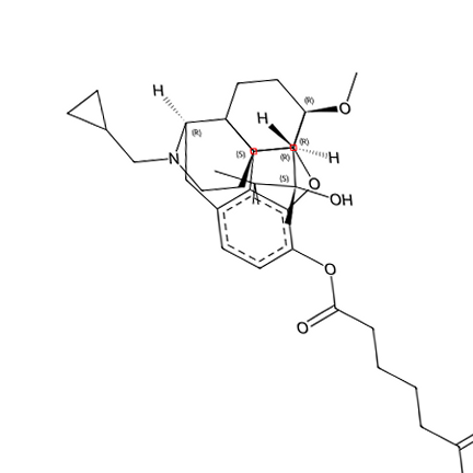 CO[C@]12CCC3(C[C@@H]1[C@](C)(O)C(C)(C)C)[C@H]1Cc4ccc(OC(=O)CCCCC(=O)O)c5c4[C@@]3(CCN1CC1CC1)[C@H]2O5